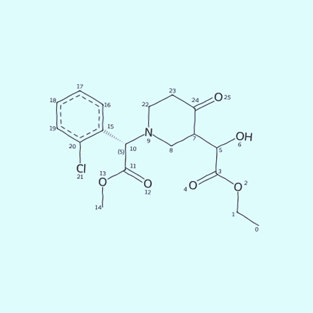 CCOC(=O)C(O)C1CN([C@H](C(=O)OC)c2ccccc2Cl)CCC1=O